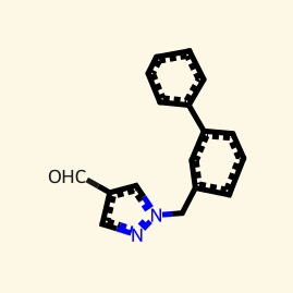 O=Cc1cnn(Cc2cccc(-c3ccccc3)c2)c1